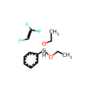 CCO[SiH](OCC)c1ccccc1.FC=C(F)F